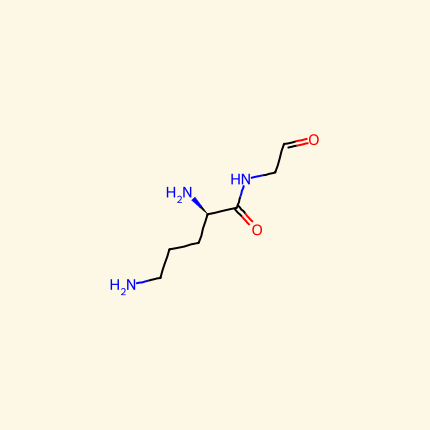 NCCC[C@@H](N)C(=O)NCC=O